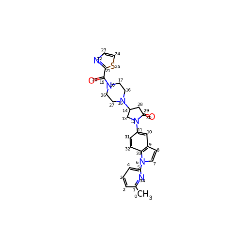 Cc1cccc(-n2ccc3cc(N4CC(N5CCN(C(=O)c6nccs6)CC5)CC4=O)ccc32)n1